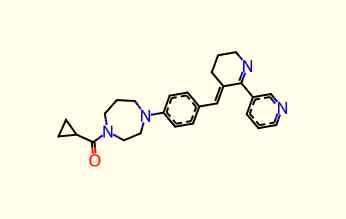 O=C(C1CC1)N1CCCN(c2ccc(/C=C3\CCCN=C3c3cccnc3)cc2)CC1